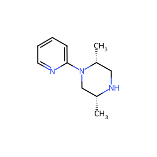 C[C@@H]1CN(c2ccccn2)[C@H](C)CN1